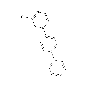 ClC1=NC=CN(c2ccc(-c3ccccc3)cc2)C1